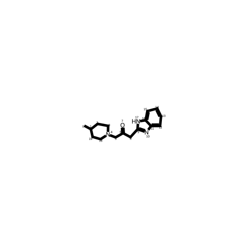 CC1CCN(CC(=O)Cc2nc3ccccc3[nH]2)CC1